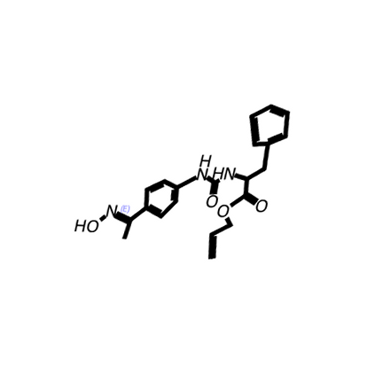 C=CCOC(=O)C(Cc1ccccc1)NC(=O)Nc1ccc(/C(C)=N/O)cc1